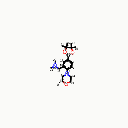 C[C@@H]1CN(c2ccc(B3OC(C)(C)C(C)(C)O3)cc2CN(C)C)CCO1